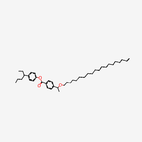 CCCCCCCCCCCCCCCCCCCCOC(C)c1ccc(C(=O)Oc2ccc(C(CC)CCC)cc2)cc1